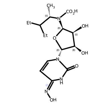 CCC(CC)[C@H](C)N(C(=O)O)[C@@H]1O[C@@H](n2cc/c(=N/O)[nH]c2=O)[C@H](O)[C@@H]1O